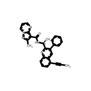 CC#Cc1cccc2nc([C@H](C)NC(=O)c3c(C)nn4cccnc34)c(-c3ccccc3)cc12